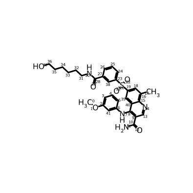 COc1cccc(Nc2c(C(N)=O)cnc3c(C)cc(S(=O)(=O)c4cccc(C(=O)NCCCCCCO)c4)cc23)c1